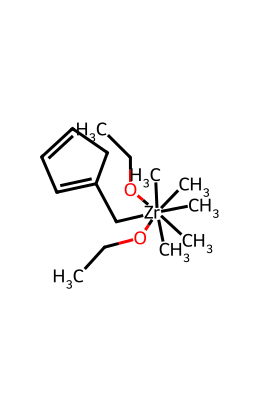 CC[O][Zr]([CH3])([CH3])([CH3])([CH3])([CH3])([CH2]C1=CC=CC1)[O]CC